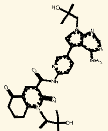 CC(n1c2c(cc(C(=O)Nc3ccc(-c4cn(CC(C)(C)O)c5ncnc(N)c45)cn3)c1=O)C(=O)CCC2)C(C)(C)O